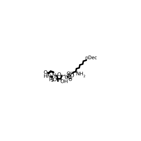 CCCCCCCCCCCCCCCC[C@@H](N)COP(=O)(O)OC[C@H]1O[C@@H](n2ccc(=O)[nH]c2=S)C(C)(O)[C@H]1O